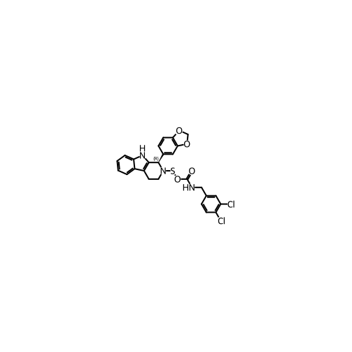 O=C(NCc1ccc(Cl)c(Cl)c1)OSN1CCc2c([nH]c3ccccc23)[C@H]1c1ccc2c(c1)OCO2